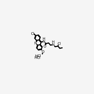 CCC(Cl)CNCCC(=O)Nc1c2ccc(Cl)cc2nc2ccc(OC)cc12.Cl.Cl